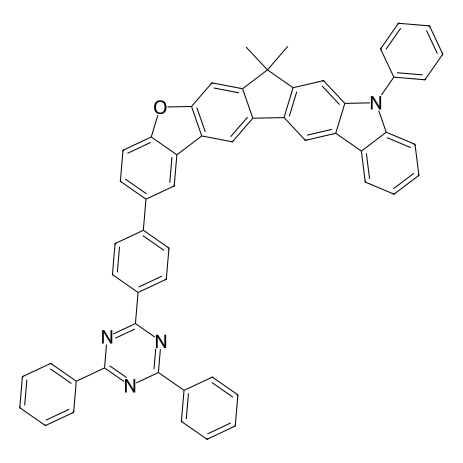 CC1(C)c2cc3oc4ccc(-c5ccc(-c6nc(-c7ccccc7)nc(-c7ccccc7)n6)cc5)cc4c3cc2-c2cc3c4ccccc4n(-c4ccccc4)c3cc21